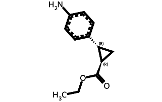 CCOC(=O)[C@@H]1C[C@H]1c1ccc(N)cc1